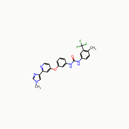 Cc1ccc(NC(=O)Nc2cccc(Oc3ccnc(-c4cn(C)cn4)c3)c2)cc1C(F)(F)F